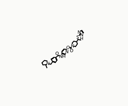 CC(Sc1ncc[nH]1)C1CCN(C(=O)Oc2ccc(NC(=O)c3ccc(CN4CCCCC4C)cc3)cn2)CC1